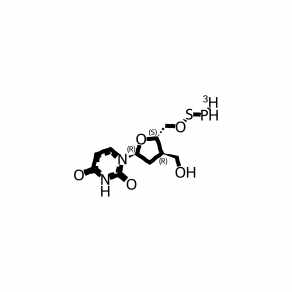 [3H]PSOC[C@H]1O[C@@H](n2ccc(=O)[nH]c2=O)C[C@@H]1CO